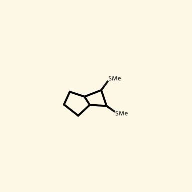 CSC1C2CCCC2C1SC